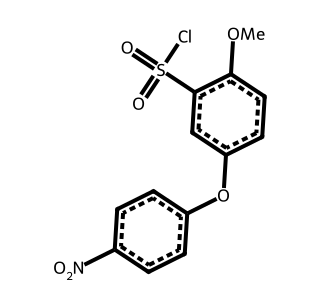 COc1ccc(Oc2ccc([N+](=O)[O-])cc2)cc1S(=O)(=O)Cl